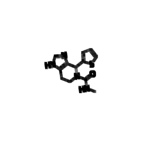 CNC(=O)N1CCc2[nH]cnc2C1c1cccs1